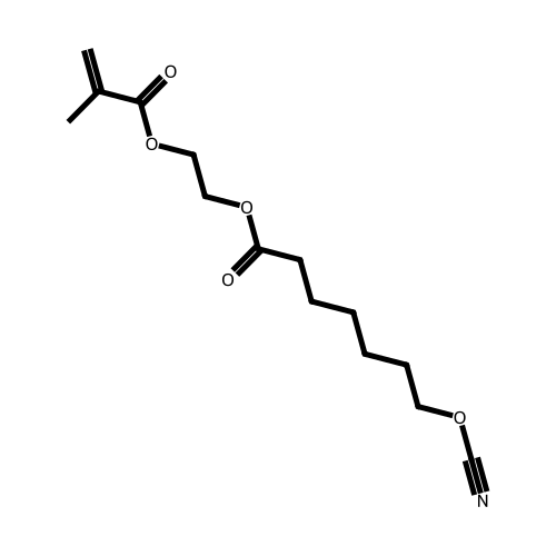 C=C(C)C(=O)OCCOC(=O)CCCCCCOC#N